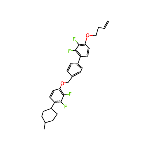 C=CCCOc1ccc(-c2ccc(COc3ccc(C4CCC(C)CC4)c(F)c3F)cc2)c(F)c1F